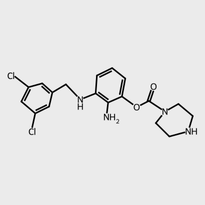 Nc1c(NCc2cc(Cl)cc(Cl)c2)cccc1OC(=O)N1CCNCC1